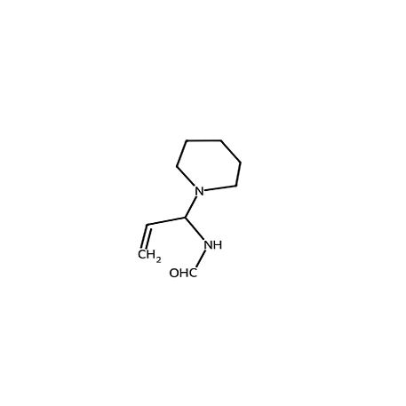 C=CC(NC=O)N1CCCCC1